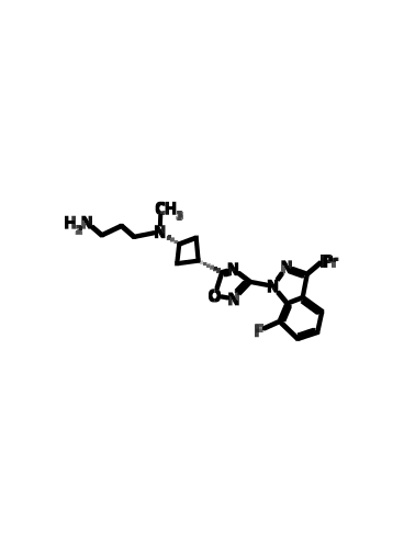 CC(C)c1nn(-c2noc([C@H]3C[C@@H](N(C)CCCN)C3)n2)c2c(F)cccc12